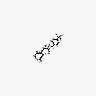 CC(C)(C)c1ccc(CNC(=O)Cc2cccc(F)c2)cc1